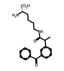 CC(C(=O)NCCCC[C@H](N)C(=O)O)c1cccc(C(=O)c2ccccc2)c1